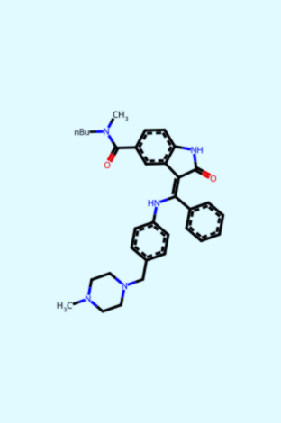 CCCCN(C)C(=O)c1ccc2c(c1)C(=C(Nc1ccc(CN3CCN(C)CC3)cc1)c1ccccc1)C(=O)N2